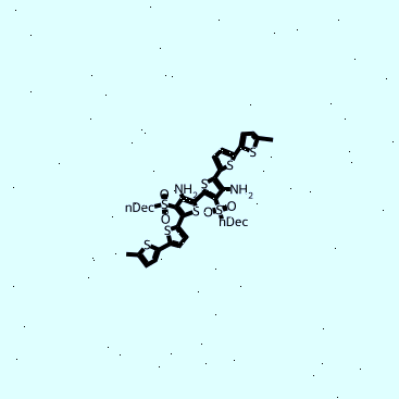 CCCCCCCCCCS(=O)(=O)c1c(-c2ccc(-c3ccc(C)s3)s2)sc(-c2sc(-c3ccc(-c4ccc(C)s4)s3)c(N)c2S(=O)(=O)CCCCCCCCCC)c1N